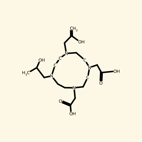 C=C(O)CN1CCN(CC(=O)O)CCN(CC(=O)O)CCN(CC(C)O)CC1